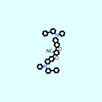 N#Cc1c2c(cc3oc4cc5cc(N(c6ccccc6)c6cccc(-c7ccccc7)c6)ccc5cc4c13)oc1cc3cc(N(c4ccccc4)c4cccc(-c5ccccc5)c4)ccc3cc12